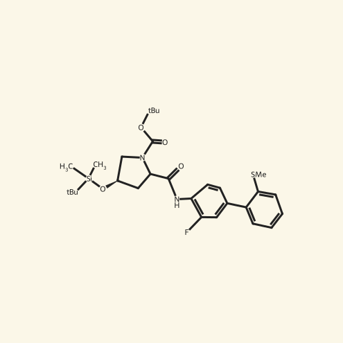 CSc1ccccc1-c1ccc(NC(=O)C2C[C@@H](O[Si](C)(C)C(C)(C)C)CN2C(=O)OC(C)(C)C)c(F)c1